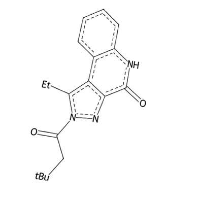 CCc1c2c(nn1C(=O)CC(C)(C)C)c(=O)[nH]c1ccccc12